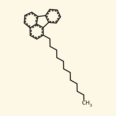 CCCCCCCCCCCCc1ccc2cccc3c2c1-c1ccccc1-3